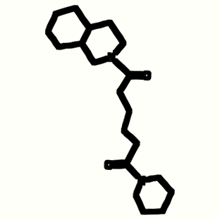 O=C(CCCCC(=O)N1CCC2CCCCC2C1)N1CCCCC1